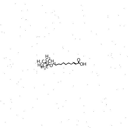 CC(C)(C)[Si](C)(C)OCCCCCCCC/C=C/C(=O)O